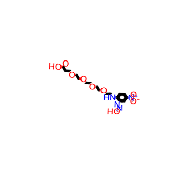 O=C(O)CCOCCOCCOCCOCCNc1ccc([N+](=O)[O-])cc1/N=N/O